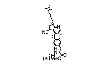 COC(=O)[C@H](Cc1ccc(Oc2ccnc3c2c(C#N)cn3COCCS(C)(C)C)c(F)c1)NC(=O)OC(C)(C)C